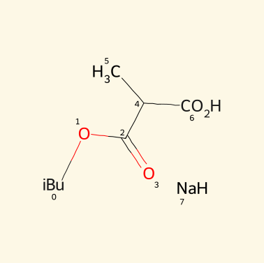 CCC(C)OC(=O)C(C)C(=O)O.[NaH]